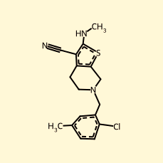 CNc1sc2c(c1C#N)CCN(Cc1cc(C)ccc1Cl)C2